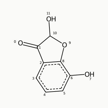 O=C1c2cccc(O)c2OC1O